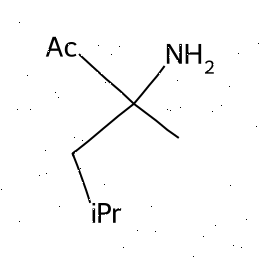 CC(=O)C(C)(N)CC(C)C